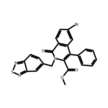 COC(=O)c1c(-c2ccccc2)c2cc(Br)ccc2c(=O)n1Cc1ccc2nsnc2c1